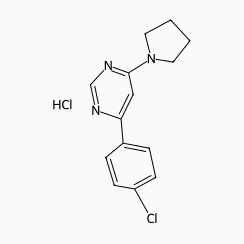 Cl.Clc1ccc(-c2cc(N3CCCC3)ncn2)cc1